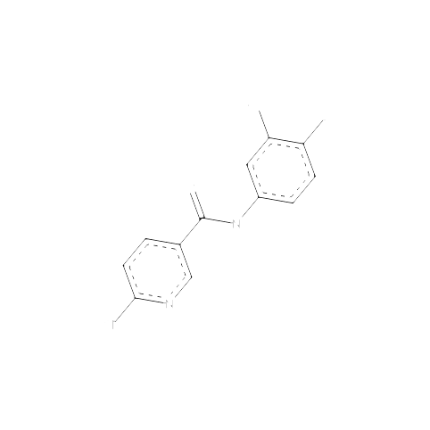 O=C(Nc1ccc(I)c(Cl)c1)c1ccc(Cl)nc1